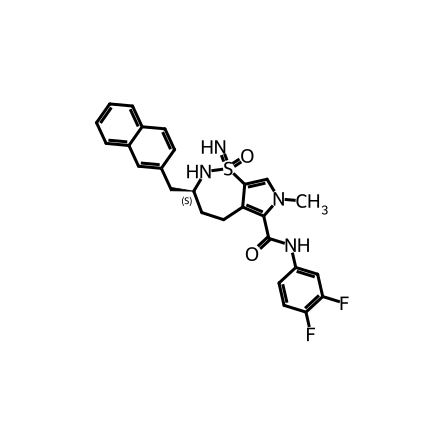 Cn1cc2c(c1C(=O)Nc1ccc(F)c(F)c1)CC[C@@H](Cc1ccc3ccccc3c1)NS2(=N)=O